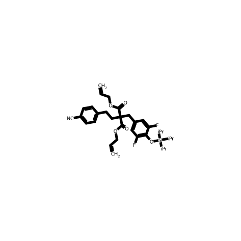 C=CCOC(=O)C(CCc1ccc(C#N)cc1)(Cc1cc(F)c(O[Si](C(C)C)(C(C)C)C(C)C)c(F)c1)C(=O)OCC=C